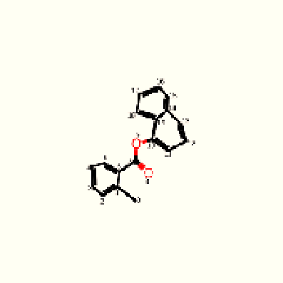 Cc1ccccc1C(=O)Oc1cccc2ccccc12